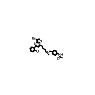 CC(=O)Nc1ccc(CN(C)CCCCc2cc(-c3ccccc3Cl)nc3c(Br)cnn23)cc1